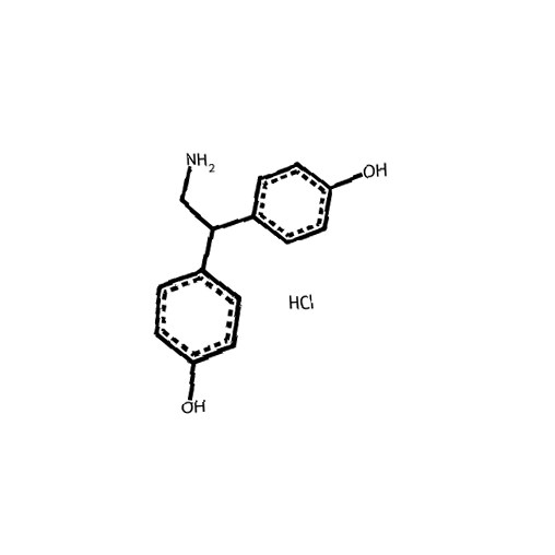 Cl.NCC(c1ccc(O)cc1)c1ccc(O)cc1